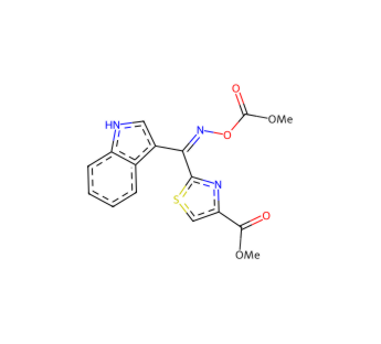 COC(=O)O/N=C(\c1nc(C(=O)OC)cs1)c1c[nH]c2ccccc12